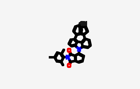 Cc1cc(C)c(N2C(=O)c3cccc(-n4c5cccc(-c6ccc(C#N)cc6)c5c5c(-c6ccc(C#N)cc6)cccc54)c3C2=O)c(C)c1